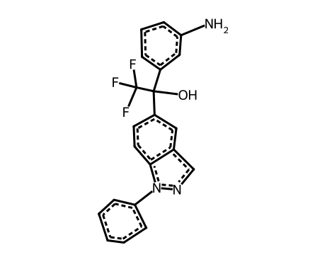 Nc1cccc(C(O)(c2ccc3c(cnn3-c3ccccc3)c2)C(F)(F)F)c1